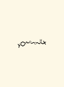 CC(C)N1CCN(CCOCCOCCNCC(C)(C)C)CC1